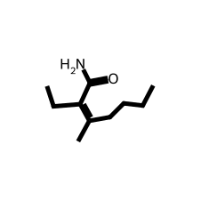 CCCCC(C)=C(CC)C(N)=O